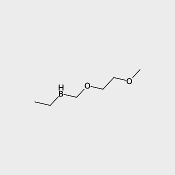 CCBCOCCOC